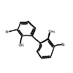 Oc1c(Br)cccc1-c1cccc(Br)c1O